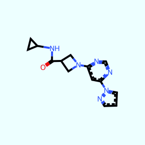 O=C(NC1CC1)C1CN(c2cc(-n3cccn3)ncn2)C1